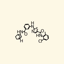 Cc1cccc(Cl)c1NC(=O)c1cnc(Nc2cccc(C(=O)NC3C[C@@H]4CCC3C4)c2)s1